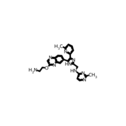 Cc1cccc(-c2nc(CNc3ccnc(C)n3)[nH]c2-c2ccc3ncc(OCCN)nc3c2)n1